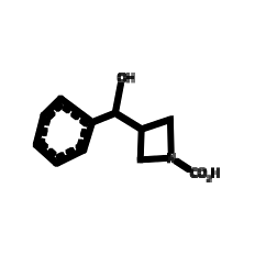 O=C(O)N1CC(C(O)c2ccccc2)C1